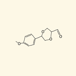 COc1ccc(C2COC(C=O)CO2)cc1